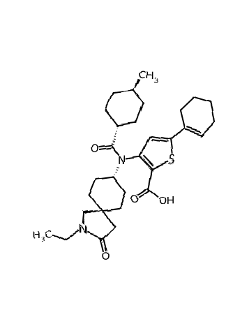 CCN1C[C@]2(CC[C@H](N(c3cc(C4=CCCCC4)sc3C(=O)O)C(=O)[C@H]3CC[C@H](C)CC3)CC2)CC1=O